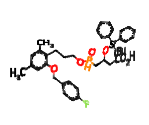 Cc1cc(C)c(CCCO[PH](=O)C[C@H](CC(=O)O)O[Si](c2ccccc2)(c2ccccc2)C(C)(C)C)c(OCc2ccc(F)cc2)c1